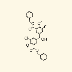 COc1c(Cl)cc(C(O)c2cc(Cl)c(OC)c(C(=O)OCc3ccccc3)c2)cc1C(=O)OCc1ccccc1